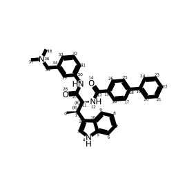 C[C@H](c1c[nH]c2ccccc12)[C@@H](NC(=O)c1ccc(-c2ccccc2)cc1)C(=O)Nc1cccc(CN(C)C)c1